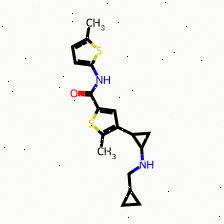 Cc1ccc(NC(=O)c2cc(C3CC3NCC3CC3)c(C)s2)s1